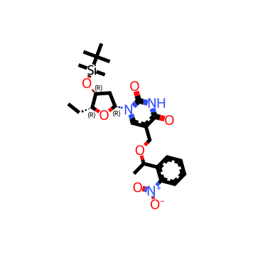 CC[C@H]1O[C@@H](n2cc(COC(C)c3ccccc3[N+](=O)[O-])c(=O)[nH]c2=O)C[C@H]1O[Si](C)(C)C(C)(C)C